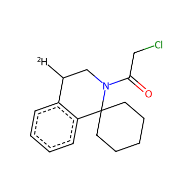 [2H]C1CN(C(=O)CCl)C2(CCCCC2)c2ccccc21